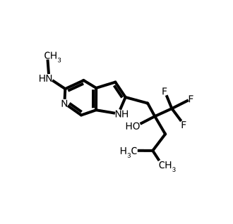 CNc1cc2cc(CC(O)(CC(C)C)C(F)(F)F)[nH]c2cn1